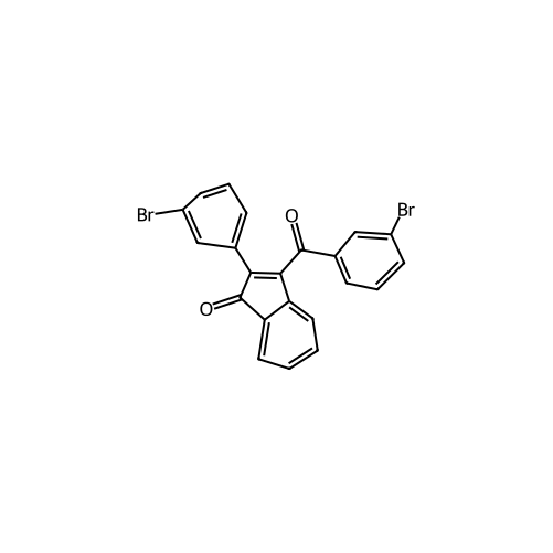 O=C(C1=C(c2cccc(Br)c2)C(=O)c2ccccc21)c1cccc(Br)c1